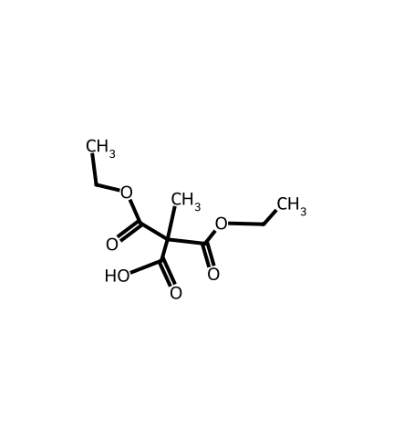 CCOC(=O)C(C)(C(=O)O)C(=O)OCC